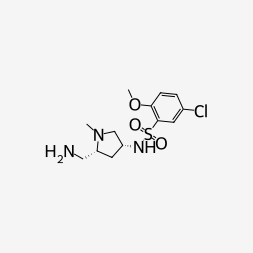 COc1ccc(Cl)cc1S(=O)(=O)N[C@@H]1C[C@H](CN)N(C)C1